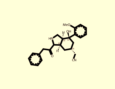 COc1ccccc1[C@]1(O)C[C@H](CC#N)C[C@H]2C(C(=O)Cc3ccccc3)NC[C@H]21